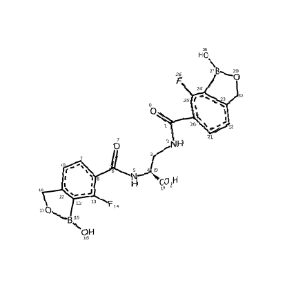 O=C(NC[C@H](NC(=O)c1ccc2c(c1F)B(O)OC2)C(=O)O)c1ccc2c(c1F)B(O)OC2